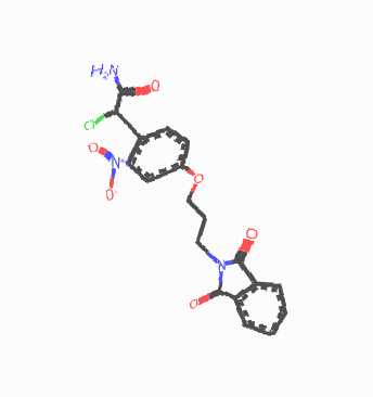 NC(=O)C(Cl)c1ccc(OCCCN2C(=O)c3ccccc3C2=O)cc1[N+](=O)[O-]